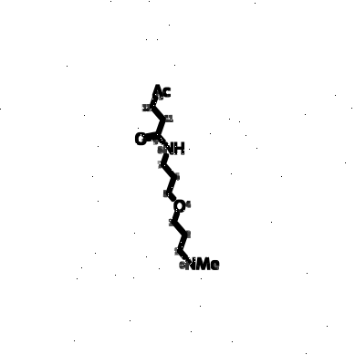 CNCCCOCCCNC(=O)CCC(C)=O